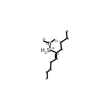 CCCCC=C(CCCC)[SiH2]N(C)C